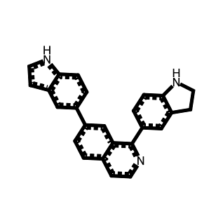 c1cc2ccc(-c3ccc4[nH]ccc4c3)cc2c(-c2ccc3c(c2)CCN3)n1